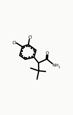 CC(C)(C)C(C(N)=O)c1ccc(Cl)c(Cl)c1